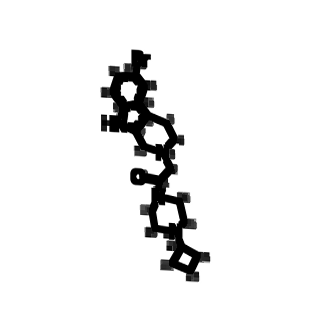 O=C(CN1CCc2c([nH]c3ccc(Br)cc23)C1)N1CCN(C2CCC2)CC1